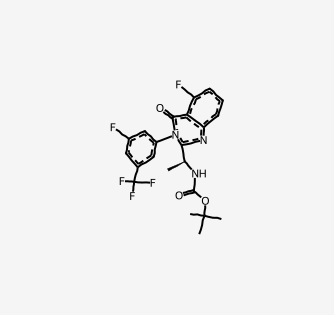 C[C@H](NC(=O)OC(C)(C)C)c1nc2cccc(F)c2c(=O)n1-c1cc(F)cc(C(F)(F)F)c1